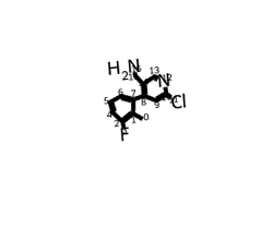 Cc1c(F)cccc1-c1cc(Cl)ncc1CN